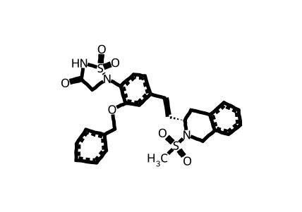 CS(=O)(=O)N1Cc2ccccc2C[C@H]1C=Cc1ccc(N2CC(=O)NS2(=O)=O)c(OCc2ccccc2)c1